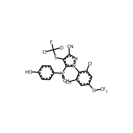 C=[N+](c1ccc(O)cc1)c1c(SC(F)(Cl)Cl)c(C#N)nn1-c1c(Cl)cc(OC(F)(F)F)cc1Cl